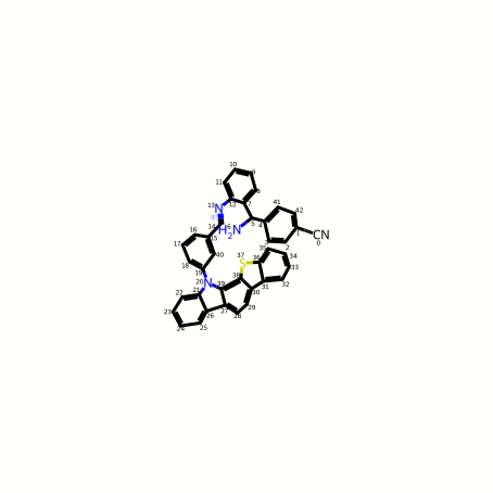 N#Cc1ccc(C(N)c2ccccc2/N=C/c2cccc(-n3c4ccccc4c4ccc5c6ccccc6sc5c43)c2)cc1